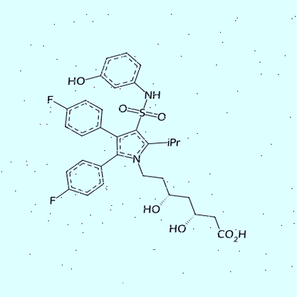 CC(C)c1c(S(=O)(=O)Nc2cccc(O)c2)c(-c2ccc(F)cc2)c(-c2ccc(F)cc2)n1CC[C@@H](O)C[C@@H](O)CC(=O)O